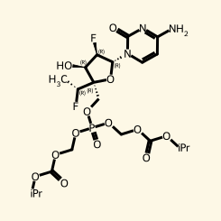 CC(C)OC(=O)OCOP(=O)(OCOC(=O)OC(C)C)OC[C@@]1([C@@H](C)F)O[C@@H](n2ccc(N)nc2=O)[C@H](F)[C@@H]1O